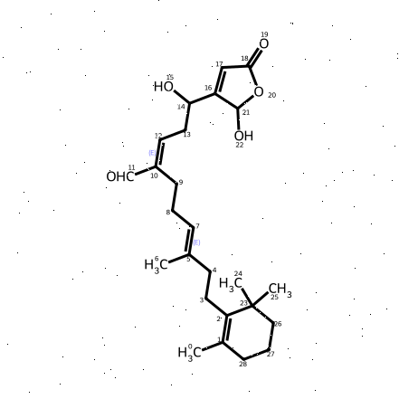 CC1=C(CC/C(C)=C/CC/C(C=O)=C\CC(O)C2=CC(=O)OC2O)C(C)(C)CCC1